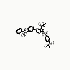 CC(=O)Nc1ccc(S(=O)(=O)n2cc(C(=O)C(C)(C)C)c3nc(-c4cccc(NS(=O)(=O)c5ccccc5)c4)cnc32)cc1